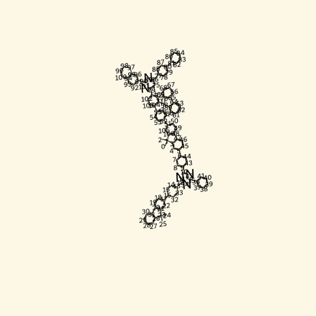 CC1(C)c2cc(-c3ccc(-c4nc(C5=CCC(c6ccc7c(c6)C(C)(C)c6ccccc6-7)C=C5)nc(-c5ccccc5)n4)cc3)ccc2-c2ccc(-c3ccc4c(c3)C3(c5ccc#cc5-c5ccccc53)c3cc(-c5cc(-c6ccc(-c7ccccc7)cc6)nc(-c6ccc7c(c6)CCC=C7)n5)ccc3-4)cc21